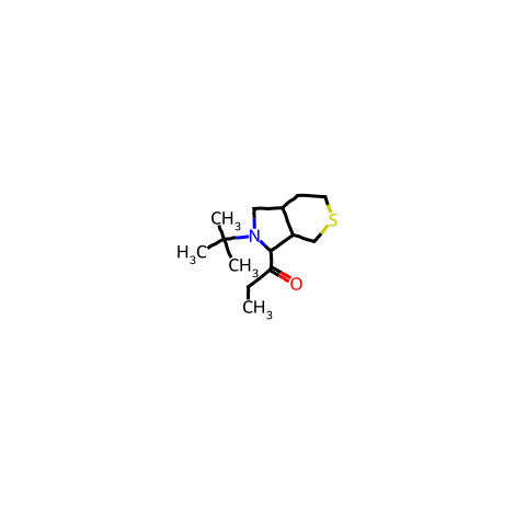 CCC(=O)C1C2CSCCC2CN1C(C)(C)C